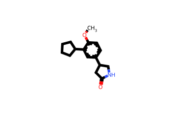 COc1ccc(C2CNC(=O)C2)cc1C1CCCC1